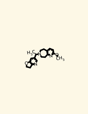 COc1ccc2c(n1)CCN([C@H](C)c1cnc3c(c1)OCC3)CC2